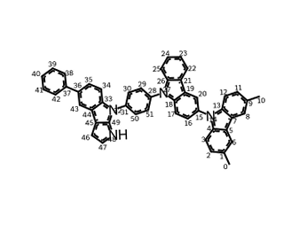 Cc1ccc2c(c1)c1cc(C)ccc1n2-c1ccc2c(c1)c1ccccc1n2-c1ccc(-n2c3ccc(-c4ccccc4)cc3c3cc[nH]c32)cc1